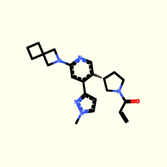 C=CC(=O)N1CC[C@@H](c2cnc(N3CC4(CCC4)C3)cc2-c2ccn(C)n2)C1